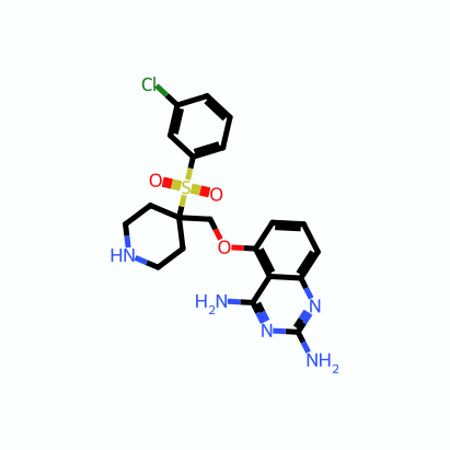 Nc1nc(N)c2c(OCC3(S(=O)(=O)c4cccc(Cl)c4)CCNCC3)cccc2n1